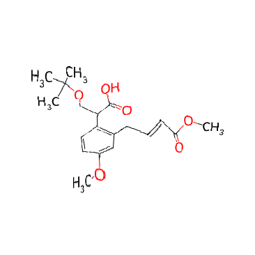 COC(=O)C=CCc1cc(OC)ccc1C(COC(C)(C)C)C(=O)O